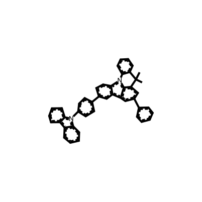 CC1(C)c2ccccc2-n2c3ccc(-c4ccc(-n5c6ccccc6c6ccccc65)cc4)cc3c3cc(-c4ccccc4)cc1c32